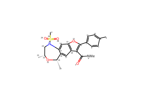 CNC(=O)c1c(-c2ccc(C)cc2)oc2cc3c(cc12)[C@H](C)O[C@H](C)CN3S(C)(=O)=O